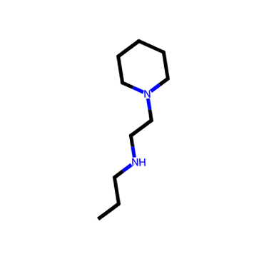 CCCNCCN1CCCCC1